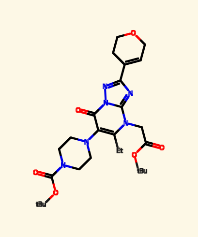 CCc1c(N2CCN(C(=O)OC(C)(C)C)CC2)c(=O)n2nc(C3=CCOCC3)nc2n1CC(=O)OC(C)(C)C